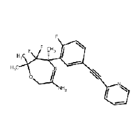 CC1(C)OCC(N)=N[C@](C)(c2cc(C#Cc3ccccn3)ccc2F)C1(F)F